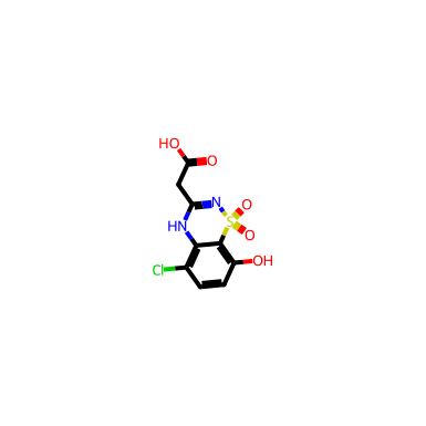 O=C(O)CC1=NS(=O)(=O)c2c(O)ccc(Cl)c2N1